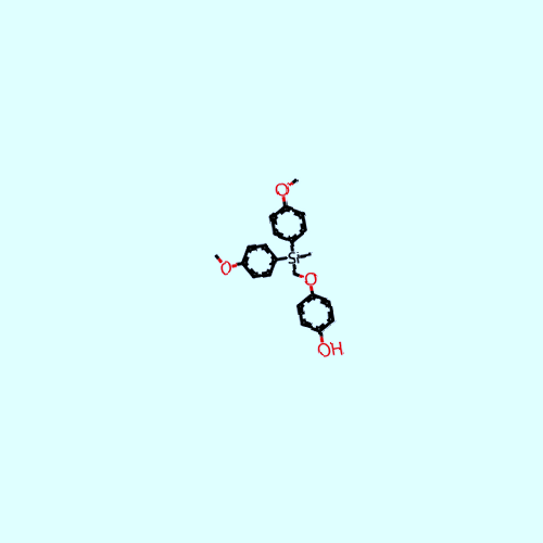 COc1ccc([Si](C)(COc2ccc(O)cc2)c2ccc(OC)cc2)cc1